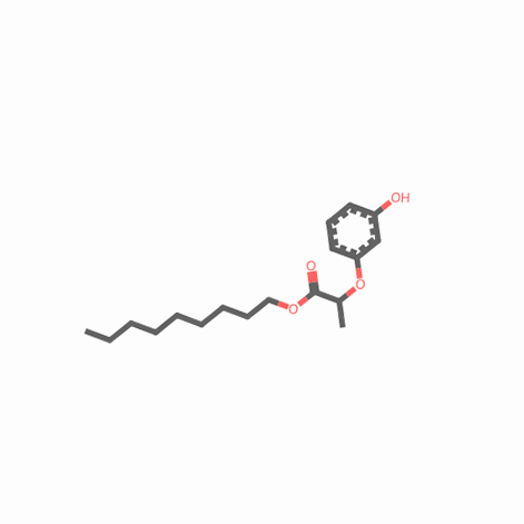 CCCCCCCCCOC(=O)C(C)Oc1cccc(O)c1